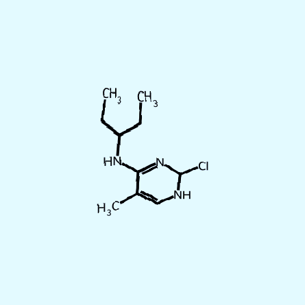 CCC(CC)NC1=NC(Cl)NC=C1C